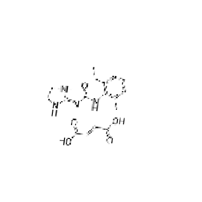 CCc1cccc(C)c1NC(=O)N=C1NCCN1.O=C(O)C=CC(=O)O